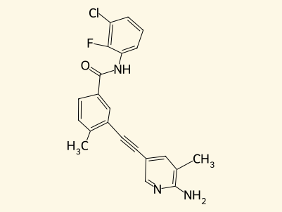 Cc1ccc(C(=O)Nc2cccc(Cl)c2F)cc1C#Cc1cnc(N)c(C)c1